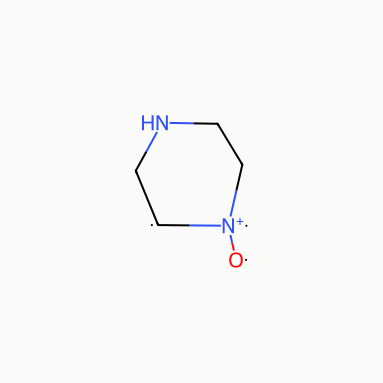 [O][N+]1[CH]CNCC1